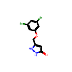 O=c1cc(COc2cc(Br)cc(Br)c2)[nH][nH]1